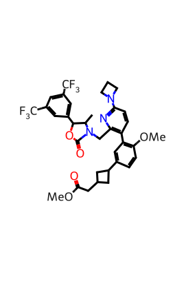 COC(=O)CC1CC(c2ccc(OC)c(-c3ccc(N4CCC4)nc3CN3C(=O)OC(c4cc(C(F)(F)F)cc(C(F)(F)F)c4)C3C)c2)C1